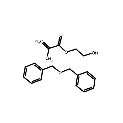 C=C(C)C(=O)OCCO.c1ccc(COCc2ccccc2)cc1